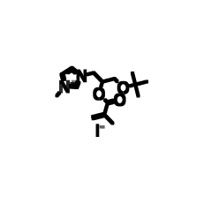 C=C(C)C(=O)OC(COC(C)(C)C)Cn1cc[n+](C)c1.[I-]